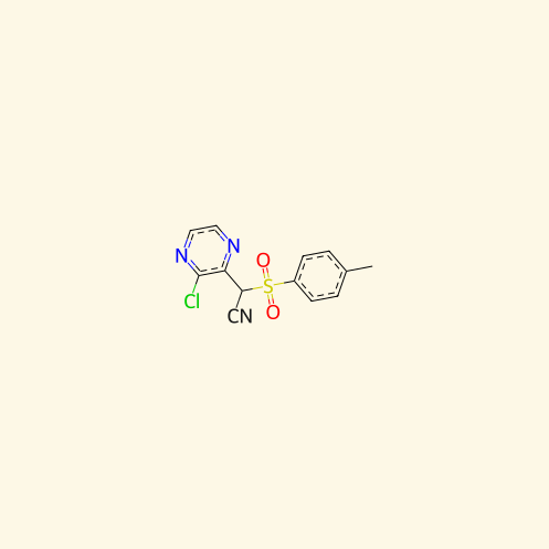 Cc1ccc(S(=O)(=O)C(C#N)c2nccnc2Cl)cc1